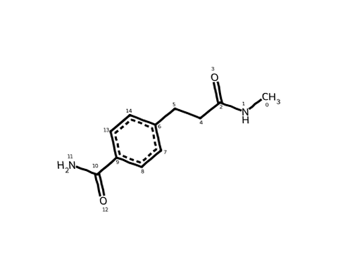 CNC(=O)CCc1ccc(C(N)=O)cc1